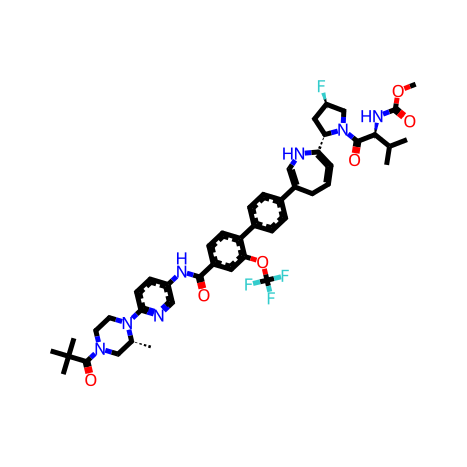 COC(=O)N[C@H](C(=O)N1C[C@H](F)C[C@H]1C1=C=CCC(c2ccc(-c3ccc(C(=O)Nc4ccc(N5CCN(C(=O)C(C)(C)C)C[C@H]5C)nc4)cc3OC(F)(F)F)cc2)=CN1)C(C)C